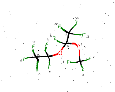 FC(F)(F)OC(F)(OC(F)(F)C(F)(F)F)C(F)(F)F